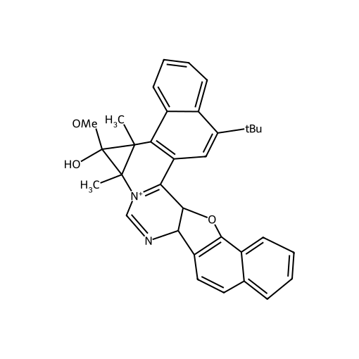 COC1(O)C2(C)c3c(cc(C(C)(C)C)c4ccccc34)C3=[N+](C=NC4c5ccc6ccccc6c5OC34)C12C